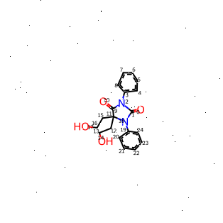 O=C1N(c2ccccc2)C(=O)C(CCO)(CCO)N1c1ccccc1